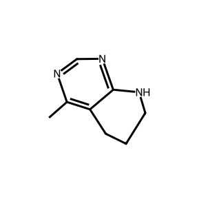 Cc1ncnc2c1CCCN2